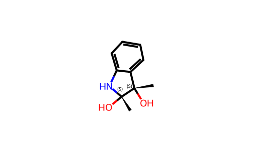 C[C@]1(O)c2ccccc2N[C@@]1(C)O